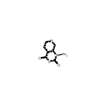 O=c1oc(=O)n(P)c2cnccc12